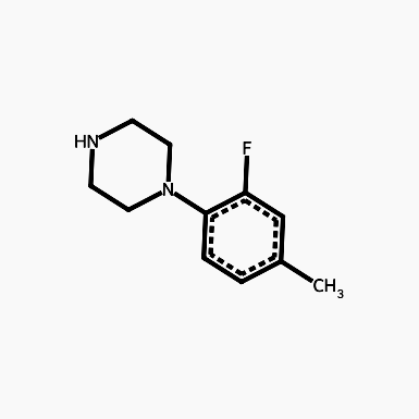 Cc1ccc(N2CCNCC2)c(F)c1